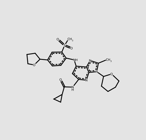 Cc1nc2c(Nc3ccc(C4CCCO4)cc3S(C)(=O)=O)cc(NC(=O)C3CC3)nc2n1C1CCCCO1